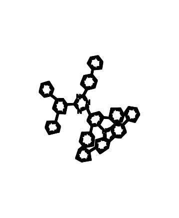 c1ccc(-c2ccc(-c3nc(-c4cc(-c5ccccc5)cc(-c5ccccc5)c4)nc(-c4cc(-c5ccccc5)c(-n5c6cc(-c7ccccc7)ccc6c6ccc(-c7ccccc7)cc65)c(-c5ccccc5)c4)n3)cc2)cc1